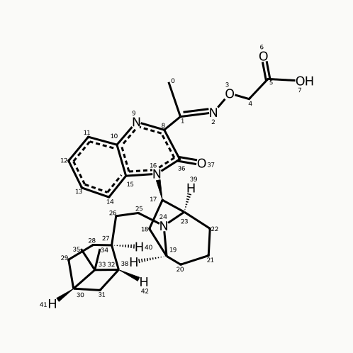 C/C(=N\OCC(=O)O)c1nc2ccccc2n([C@@H]2C[C@@H]3CCC[C@H]2N3CC[C@@H]2CC[C@H]3C[C@@H]2C3(C)C)c1=O